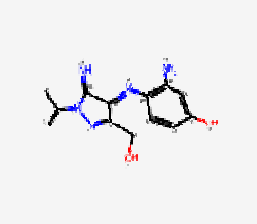 CC(C)N1N=C(CO)C(=Nc2ccc(O)cc2N)C1=N